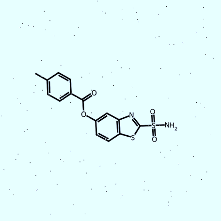 Cc1ccc(C(=O)Oc2ccc3sc(S(N)(=O)=O)nc3c2)cc1